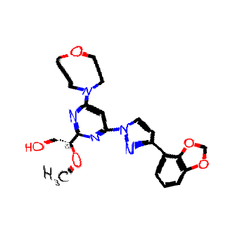 CO[C@H](CO)c1nc(N2CCOCC2)cc(-n2ccc(-c3cccc4c3OCO4)n2)n1